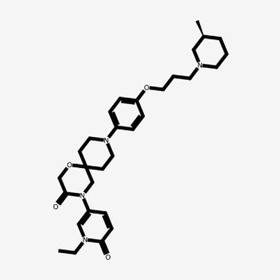 CCn1cc(N2CC3(CCN(c4ccc(OCCCN5CCC[C@H](C)C5)cc4)CC3)OCC2=O)ccc1=O